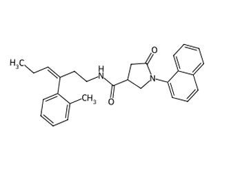 CC/C=C(/CCNC(=O)C1CC(=O)N(c2cccc3ccccc23)C1)c1ccccc1C